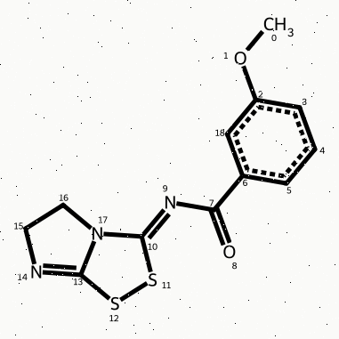 COc1cccc(C(=O)N=C2SSC3=NCCN32)c1